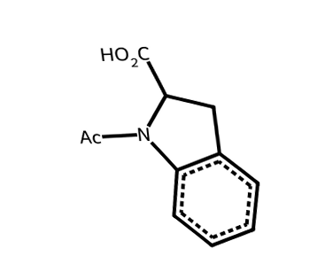 CC(=O)N1c2ccccc2CC1C(=O)O